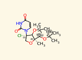 CC(C)(C)[Si](C)(C)OC[C@@]1(C)OC[C@@](Cl)(n2ccc(=O)[nH]c2=O)C1O[Si](C)(C)C(C)(C)C